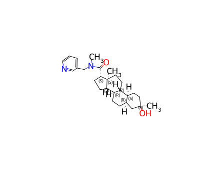 CN(Cc1cccnc1)C(=O)[C@H]1CC[C@H]2[C@@H]3CC[C@@H]4C[C@](C)(O)CC[C@@H]4[C@H]3CC[C@]12C